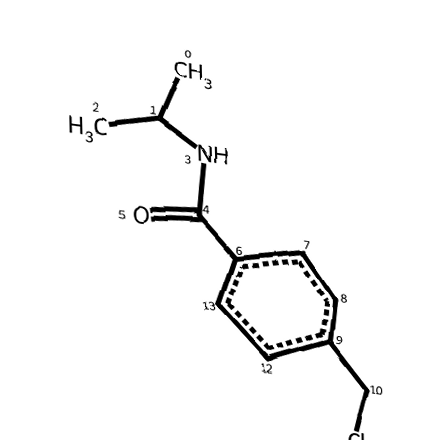 CC(C)NC(=O)c1ccc(CCl)cc1